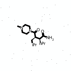 CCC[C@H](C(N)=O)[C@@H](CC(C)C)C(=O)N1CCN(C)CC1